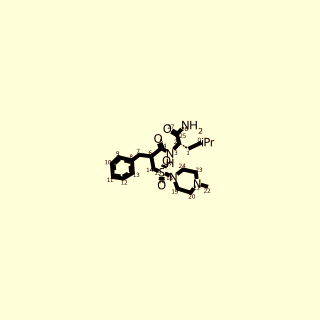 CC(C)C[C@H](NC(=O)C(Cc1ccccc1)CS(=O)(=O)N1CCN(C)CC1)C(N)=O